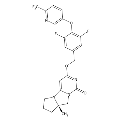 C[C@@]12CCCN1c1cc(OCc3cc(F)c(Oc4ccc(C(F)(F)F)nc4)c(F)c3)nc(=O)n1C2